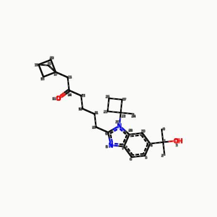 CC(C)(O)c1ccc2nc(CCCCC(=O)CC34CC(C3)C4)n(C3(C)CCC3)c2c1